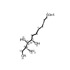 CCCCCCCCCCCCCC[C@@H](O)[C@H](O)[C@@H](N)CO